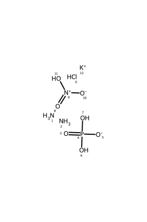 Cl.N.N.O=P([O-])(O)O.O=[N+]([O-])O.[K+]